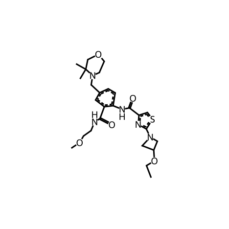 CCOC1CN(c2nc(C(=O)Nc3ccc(CN4CCOCC4(C)C)cc3C(=O)NCCOC)cs2)C1